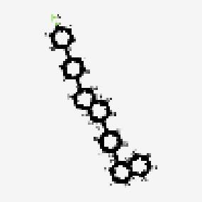 Fc1ccc(-c2ccc(-c3ccc4cc(-c5ccc(-c6cccc7ccccc67)cc5)ccc4c3)cc2)cc1